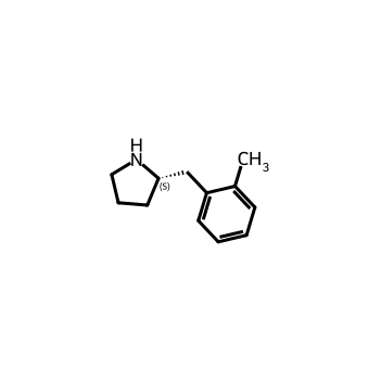 Cc1ccccc1C[C@@H]1CCCN1